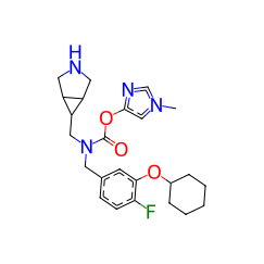 Cn1cnc(OC(=O)N(Cc2ccc(F)c(OC3CCCCC3)c2)CC2C3CNCC32)c1